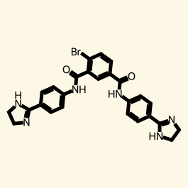 O=C(Nc1ccc(C2=NCCN2)cc1)c1ccc(Br)c(C(=O)Nc2ccc(C3=NCCN3)cc2)c1